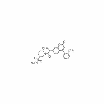 CNS(=O)(=O)C1CCCN(C(=O)C(C=O)c2ccc3c(-c4ccccc4C)cc(=O)oc3c2)C1